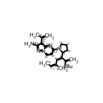 C=C(CCCC)/C(=C\C(C)=C/C)C1CCCN1c1ccn2nc(N)c(C(=C)C)c2n1